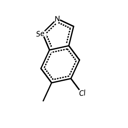 Cc1cc2[se]ncc2cc1Cl